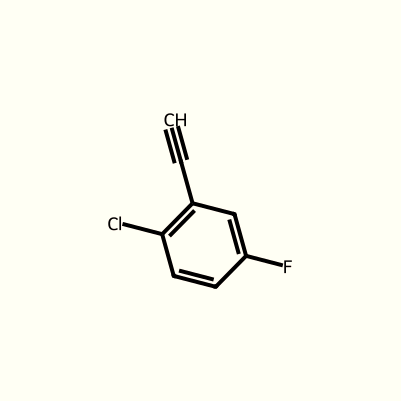 C#Cc1cc(F)ccc1Cl